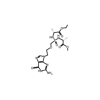 CCOC(=O)[C@@H](C)NP(=O)(COCCn1cnc2c(=O)[nH]c(N)nc21)N[C@H](C)C(=O)OC